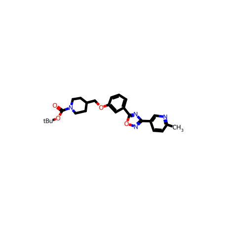 Cc1ccc(-c2noc(-c3cccc(OCC4CCN(C(=O)OC(C)(C)C)CC4)c3)n2)cn1